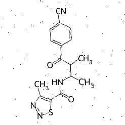 Cc1nnsc1C(=O)NC(C)C(C)C(=O)c1ccc(C#N)cc1